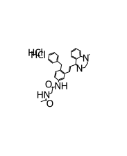 CC(=O)NCC(=O)Nc1ccc(Cc2ccccc2)c(/C=C/C2=NCCN(C)c3ccccc32)c1.Cl.Cl